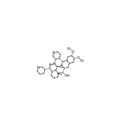 CCOc1cc2cc(C(O)O)cc(-c3ccncc3-n3nc(-c4cccnc4)c4ccccc4c3=O)c2cc1OCC